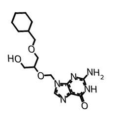 Nc1nc2c(ncn2COC(CO)COCC2CCCCC2)c(=O)[nH]1